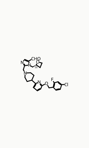 O=Cc1cnc(CN2CCC(c3cccc(OCc4ccc(Cl)cc4F)n3)CC2)n1C[C@@H]1CCO1